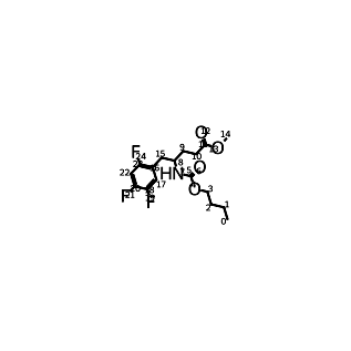 CCCCOC(=O)NC(CCC(=O)OC)Cc1cc(F)c(F)cc1F